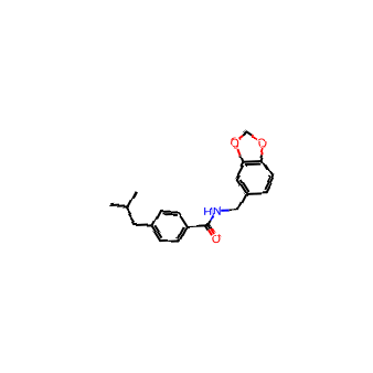 CC(C)Cc1ccc(C(=O)NCc2ccc3c(c2)OCO3)cc1